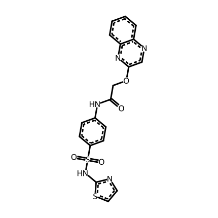 O=C(COc1cnc2ccccc2n1)Nc1ccc(S(=O)(=O)Nc2nccs2)cc1